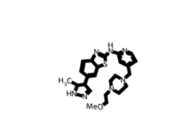 COCCN1CCN(Cc2ccnc(NC3=NC4C=CC(C5C=NNC5C)=CC4S3)c2)CC1